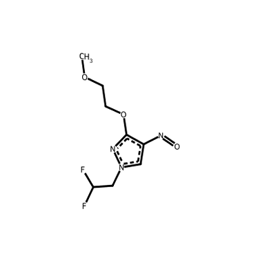 COCCOc1nn(CC(F)F)cc1N=O